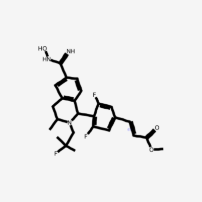 COC(=O)/C=C/c1cc(F)c(C2c3ccc(C(=N)NO)cc3CC(C)N2CC(C)(C)F)c(F)c1